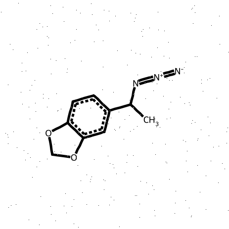 CC(N=[N+]=[N-])c1ccc2c(c1)OCO2